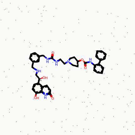 O=C(NCCN1CCC(OC(=O)Nc2ccccc2-c2ccccc2)CC1)NCc1cccc(CNC[C@@H](O)c2ccc(O)c3[nH]c(=O)ccc23)c1